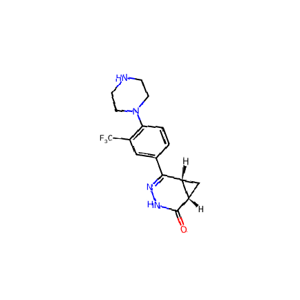 O=C1NN=C(c2ccc(N3CCNCC3)c(C(F)(F)F)c2)[C@@H]2C[C@H]12